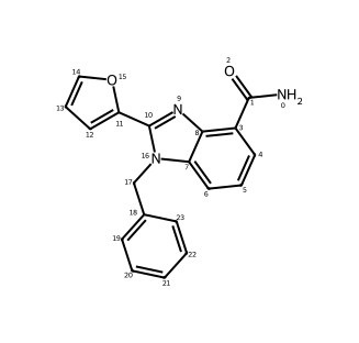 NC(=O)c1cccc2c1nc(-c1ccco1)n2Cc1ccccc1